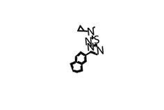 CN(c1nn2c(-c3ccc4ccccc4c3)cnc2s1)C1CC1